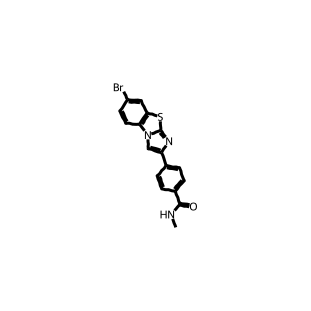 CNC(=O)c1ccc(-c2cn3c(n2)sc2cc(Br)ccc23)cc1